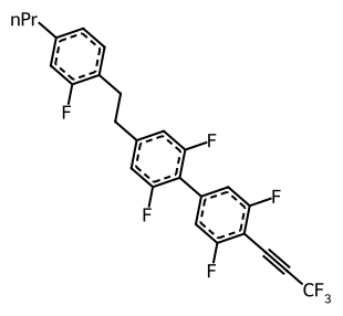 CCCc1ccc(CCc2cc(F)c(-c3cc(F)c(C#CC(F)(F)F)c(F)c3)c(F)c2)c(F)c1